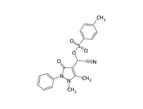 Cc1ccc(S(=O)(=O)OC(C#N)c2c(C)n(C)n(-c3ccccc3)c2=O)cc1